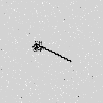 CCCCCCCC/C=C/CCCCCCCCCCCCC(O)(CCC)C(O)CO